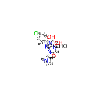 Cc1cc(Cl)cc(O)c1-c1nc2nc(O[C@@H]3CCN(C)C3)cnc2n1C.O=CO